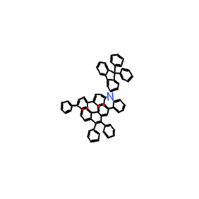 c1ccc(-c2ccc(-c3ccc(N(c4ccc5c(c4)-c4ccccc4C5(c4ccccc4)c4ccccc4)c4ccccc4-c4ccc5c(c4)c(-c4ccccc4)c(-c4ccccc4)c4ccccc45)cc3)cc2)cc1